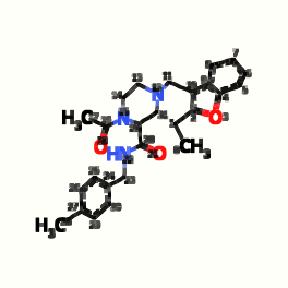 CCc1oc2ccccc2c1CN1CCN(C(C)=O)C(C(=O)NCc2ccc(C)cc2)C1